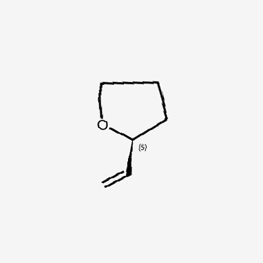 C=C[C@@H]1CCCO1